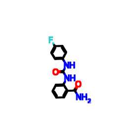 NC(=O)c1ccccc1NC(=O)Nc1ccc(F)cc1